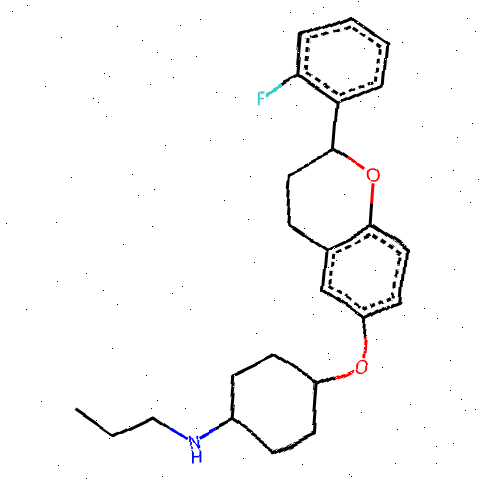 CCCNC1CCC(Oc2ccc3c(c2)CCC(c2ccccc2F)O3)CC1